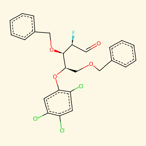 O=C[C@H](F)[C@H](OCc1ccccc1)[C@@H](COCc1ccccc1)Oc1cc(Cl)c(Cl)cc1Cl